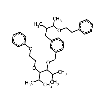 CC(C)C(OCCOc1ccccc1)C(OCc1cccc(CC(C)C(C)OCCc2ccccc2)c1)C(C)C